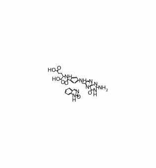 Nc1nc2ncc(CNc3ccc(C(=O)NC(CCC(=O)O)C(=O)O)cc3)nc2c(=O)[nH]1.O=c1ncc2ccccc2[nH]1